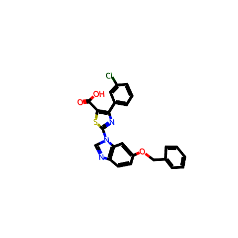 O=C(O)c1sc(-n2cnc3ccc(OCc4ccccc4)cc32)nc1-c1cccc(Cl)c1